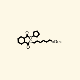 CCCCCCCCCCCCCCCCOC(=O)C1CCCCC1C(=O)OC1CCCC1